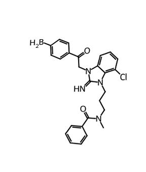 Bc1ccc(C(=O)Cn2c(=N)n(CCCN(C)C(=O)c3ccccc3)c3c(Cl)cccc32)cc1